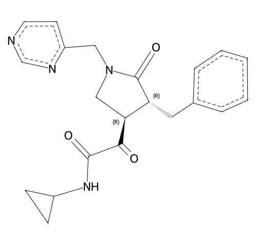 O=C(NC1CC1)C(=O)[C@H]1CN(Cc2ccncn2)C(=O)[C@@H]1Cc1ccccc1